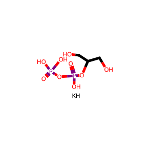 O=P(O)(O)OP(=O)(O)OC(CO)CO.[KH]